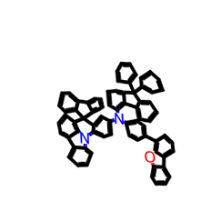 c1ccc(C2(c3ccccc3)c3ccccc3-c3c(N(c4ccc(-c5cccc6c5oc5ccccc56)cc4)c4ccc5c(c4)C4(c6ccccc6-c6ccccc64)c4cccc6c7ccccc7n-5c46)cccc32)cc1